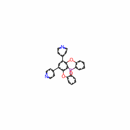 O=P12c3ccccc3Oc3c(-c4ccncc4)cc(-c4ccncc4)c(c31)Oc1ccccc12